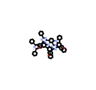 c1ccc(-c2ccc3c(c2)c2ccccc2n3-c2ccc(-c3nc(-c4ccccc4)nc(-c4ccccc4)n3)c(-n3c4ccc(-c5ccccc5)cc4c4cc(-c5cc(-c6ccccc6)nc(-c6ccccc6)c5)ccc43)c2-c2nc(-c3ccccc3)nc(-c3ccccc3)n2)cc1